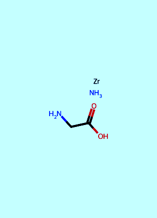 N.NCC(=O)O.[Zr]